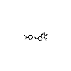 CN(C)c1ccc(C=Cc2ccc3c(=O)[nH]ncc3c2)cc1